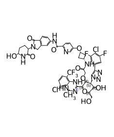 CC(=N)/N=C(\Nc1cc(Cl)ccc1C(F)(F)F)[C@@H]1O[C@H](CO)[C@H](O)[C@H](n2cc(-c3cc(F)c(Cl)c(F)c3)nn2)[C@H]1OCC(=O)N[C@H]1C[C@@H](Oc2ccc(C(=O)Nc3ccc4c(c3)CN(C3CCC(O)NC3=O)C4=O)nc2)C1